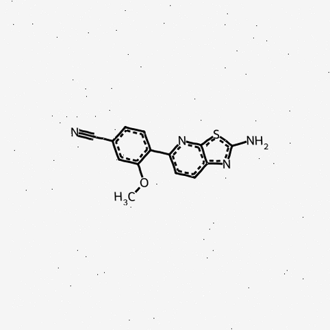 COc1cc(C#N)ccc1-c1ccc2nc(N)sc2n1